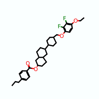 CCCc1ccc(C(=O)OC2CCC3CC(C4CCC(COc5ccc(OCC)c(F)c5F)CC4)CCC3C2)cc1